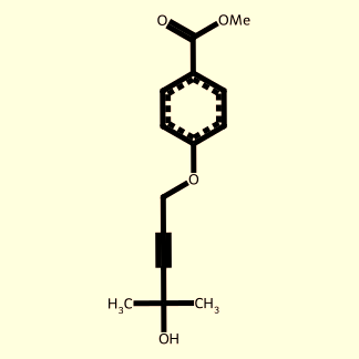 COC(=O)c1ccc(OCC#CC(C)(C)O)cc1